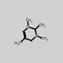 CC1=CN(C)C(C)N(C)C1